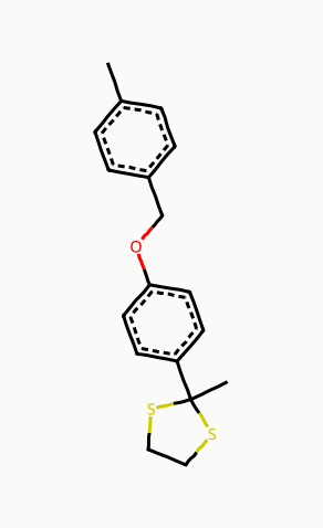 Cc1ccc(COc2ccc(C3(C)SCCS3)cc2)cc1